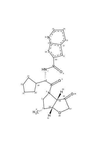 C[C@@H]1CN(C(=O)[C@@H](NC(=O)c2cc3cccnc3s2)C2CCCC2)[C@@H]2C(=O)CO[C@H]12